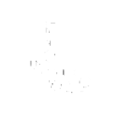 Cc1cccc(F)c1-c1cc2c(NC(=O)c3ccc(N4CCN(C)CC4)cc3N)n[nH]c2cn1